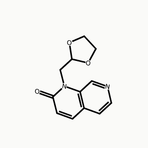 O=c1ccc2ccncc2n1CC1OCCO1